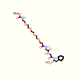 CC(C)(C)OC(=O)NCCOCCOCCOCCOCCC(=O)NCC(=O)NCC(=O)N[C@@H](Cc1ccccc1)C(=O)O